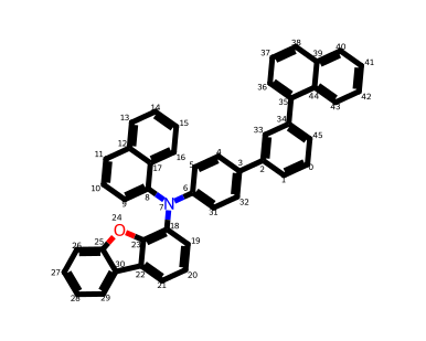 c1cc(-c2ccc(N(c3cccc4ccccc34)c3cccc4c3oc3ccccc34)cc2)cc(-c2cccc3ccccc23)c1